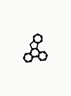 c1ccc2c(c1)Cc1c-2c2ccccc2c2ccccc12